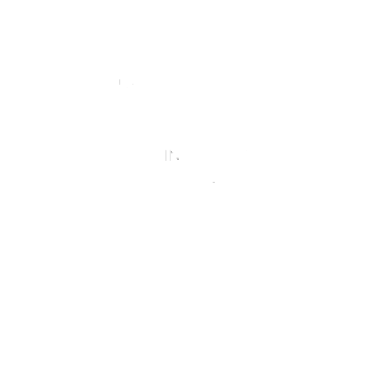 CC(C)(C)C(=O)NC1(C2CCCC2)CC1